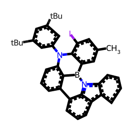 Cc1cc(I)c2c(c1)B1c3c(cccc3N2c2cc(C(C)(C)C)cc(C(C)(C)C)c2)-c2cccc3c4ccccc4n1c23